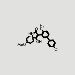 CO[C@H]1CC[C@]2(CC1)NC(=O)C(c1cc(-c3ccc(Cl)cc3)ccc1C)=C2O